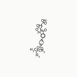 CC(C)(C)OC(=O)N1CCN(c2ccc3c(c2)C2(CC2)N(C(CCC(=O)O)C(=O)O)C3=O)CC1